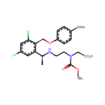 COc1ccc(OCc2c(Cl)cc(F)cc2[C@H](C)NCCN(CC(=O)O)C(=O)OC(C)(C)C)cc1